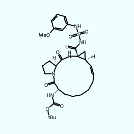 COc1cccc(NS(=O)(=O)NC(=O)[C@@]23C[C@H]2/C=C\CCCCC[C@H](NC(=O)OC(C)(C)C)C(=O)N2CCC[C@H]2C(=O)N3)c1